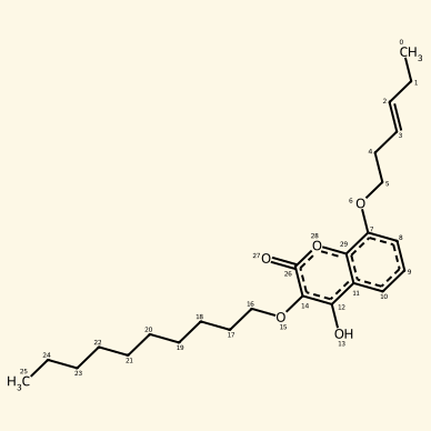 CC/C=C/CCOc1cccc2c(O)c(OCCCCCCCCCC)c(=O)oc12